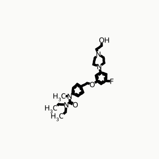 CCN(CC)C(=O)N(C)c1ccc(COc2cc(F)cc(N3CCN(CCO)CC3)c2)cc1